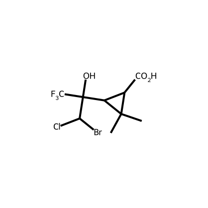 CC1(C)C(C(=O)O)C1C(O)(C(Cl)Br)C(F)(F)F